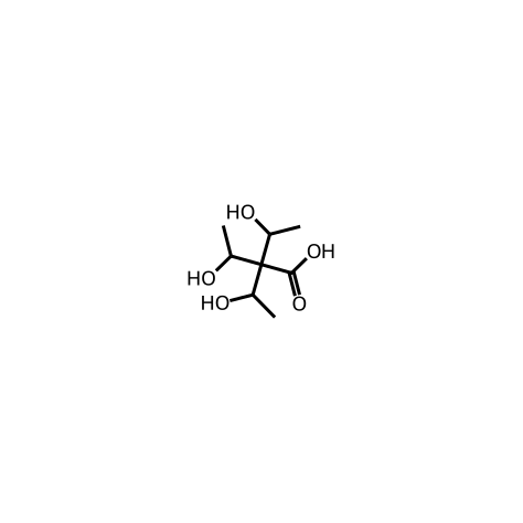 CC(O)C(C(=O)O)(C(C)O)C(C)O